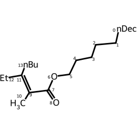 CCCCCCCCCCCCCCCOC(=O)C(C)=C(CC)CCCC